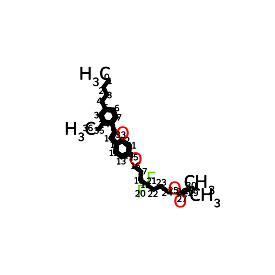 CCCCCc1ccc(-c2cc3ccc(OCCCC(F)(F)CCCOC(=O)C(C)C)cc3o2)c(CC)c1